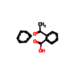 CC(=O)c1ccccc1C(=O)O.c1ccccc1